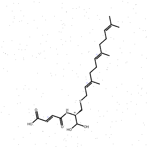 CC(C)=CCC/C(C)=C/CC/C(C)=C/CSC[C@H](NC(=O)/C=C/C(=O)O)C(O)O